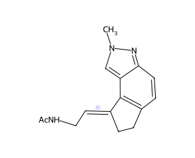 CC(=O)NC/C=C1\CCc2ccc3nn(C)cc3c21